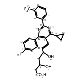 O=C(O)CC(O)CC(O)/C=C/c1c(-c2ccc(F)cc2)nc(-c2cccc(C(F)(F)F)c2)nc1C1CC1